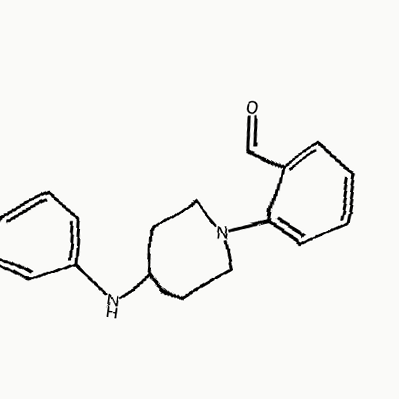 O=Cc1ccccc1N1CCC(Nc2ccccc2)CC1